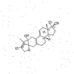 CCOC(C)C1(O)CC2=C(CC[C@@H]3C2=CC[C@@]2(C)[C@H]3CC[C@@]2(C#N)CC)CC12OCCO2